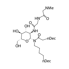 CCCCCCCCCCCCCCN(C(=O)CCCCCCCCCCC)[C@@H]1O[C@H](CO)[C@@H](O)[C@H](O)[C@H]1NC(=O)CNC(=O)CNC